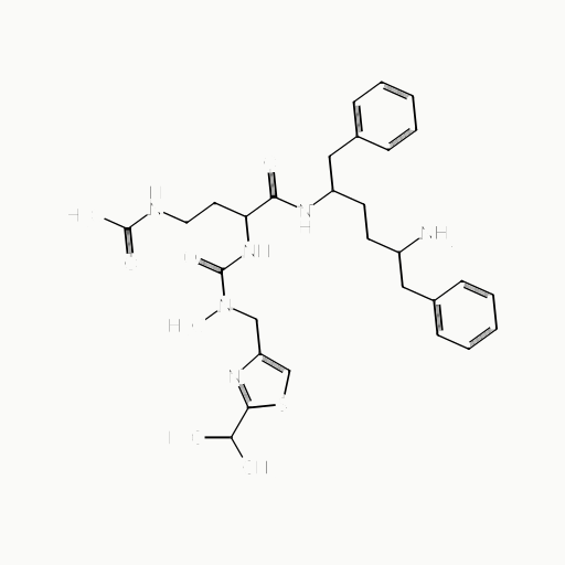 CC(=O)NCCC(NC(=O)N(C)Cc1csc(C(C)C)n1)C(=O)NC(CCC(N)Cc1ccccc1)Cc1ccccc1